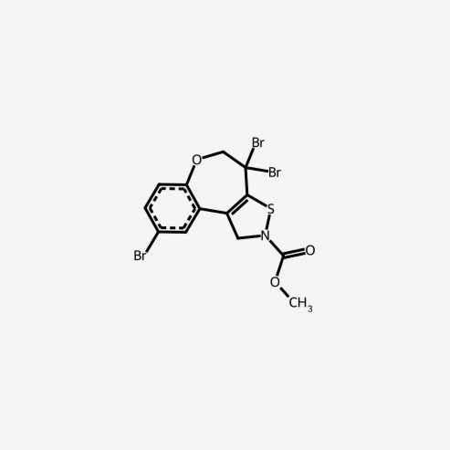 COC(=O)N1CC2=C(S1)C(Br)(Br)COc1ccc(Br)cc12